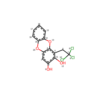 Oc1cc2c(c(CC(Cl)(Cl)Cl)c1O)Oc1ccccc1O2